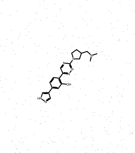 CN(C)CC1CCN(c2ncc(-c3ccc(-c4cn[nH]c4)cc3O)nn2)C1